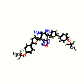 CC(F)(F)Oc1ccc(-c2ccc(-c3c(N)c(N)c(-c4ccc(-c5ccc(OC(C)(F)F)cc5)s4)c4nonc34)s2)cc1